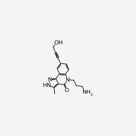 Cc1[nH]nc2c1c(=O)n(CCCN)c1ccc(C#CCO)cc21